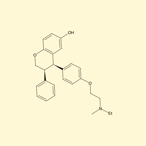 CCN(C)CCOc1ccc([C@@H]2c3cc(O)ccc3OC[C@@H]2c2ccccc2)cc1